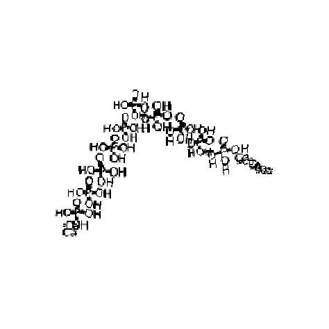 O=P(O)(O)O.O=P(O)(O)O.O=P(O)(O)O.O=P(O)(O)O.O=P(O)(O)O.O=P(O)(O)O.O=P(O)(O)O.O=P(O)(O)O.O=P(O)(O)O.O=P(O)(O)O.[Ca].[Ca].[Ca].[Ca].[Ca].[Ca].[Ca]